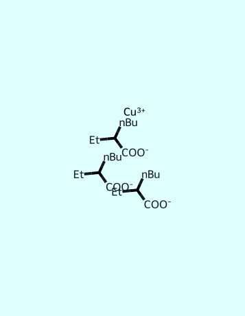 CCCCC(CC)C(=O)[O-].CCCCC(CC)C(=O)[O-].CCCCC(CC)C(=O)[O-].[Cu+3]